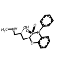 CNC[C@H](O)C[C@@H]1Oc2ccccc2N(c2ccccc2)S1(=O)=O